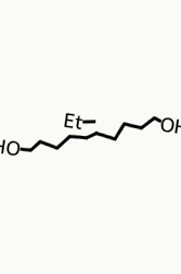 CCC.OCCCCCCCCCCO